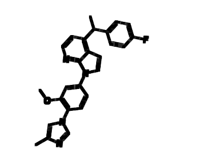 COc1cc(-n2ccc3c(C(C)c4ccc(F)cc4)ccnc32)ccc1-n1cnc(C)c1